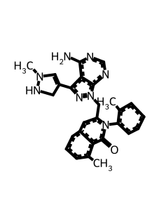 Cc1ccccc1-n1c(Cn2nc(C3=CN(C)NC3)c3c(N)ncnc32)cc2cccc(C)c2c1=O